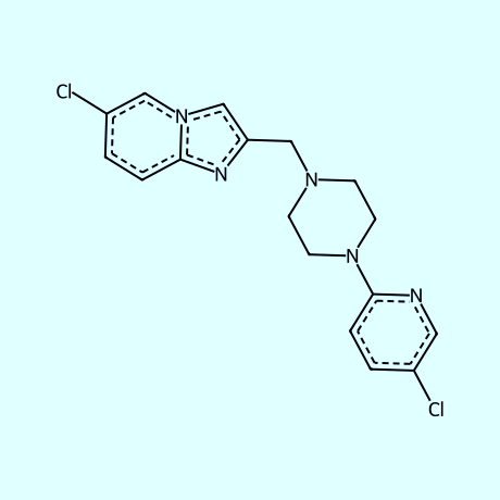 Clc1ccc(N2CCN(Cc3cn4cc(Cl)ccc4n3)CC2)nc1